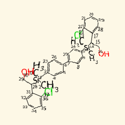 C[Si](C)(c1ccc(-c2ccc([Si](C)(C)C(CO)c3ccccc3Cl)cc2)cc1)C(CO)c1ccccc1Cl